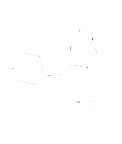 C1CCC(CC2CCC34OC2C3O4)CC1.C=CC(=O)O